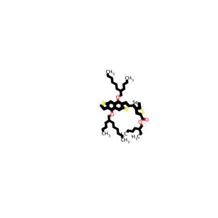 CCCCCCC(CCCC)COc1c2ccsc2cc2c(OCC(CCCC)CCCCCC)c3cc(-c4[se]cc5sc(C(=O)OCC(CC)CCCC)cc45)sc3cc12